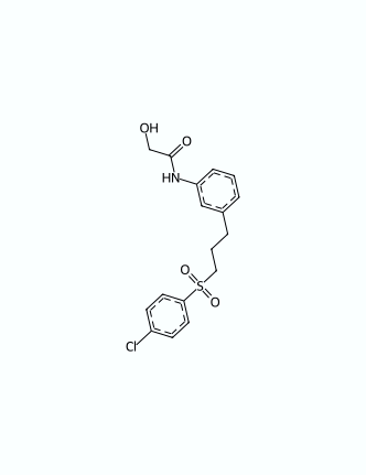 O=C(CO)Nc1cccc(CCCS(=O)(=O)c2ccc(Cl)cc2)c1